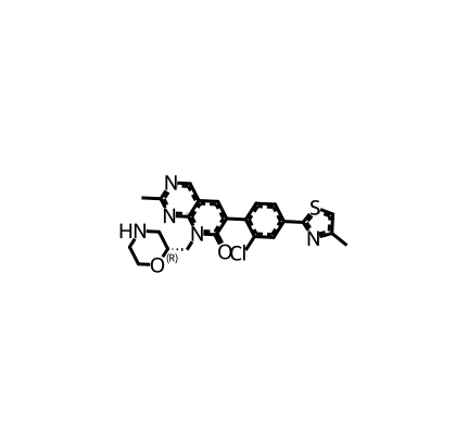 Cc1csc(-c2ccc(-c3cc4cnc(C)nc4n(C[C@H]4CNCCO4)c3=O)c(Cl)c2)n1